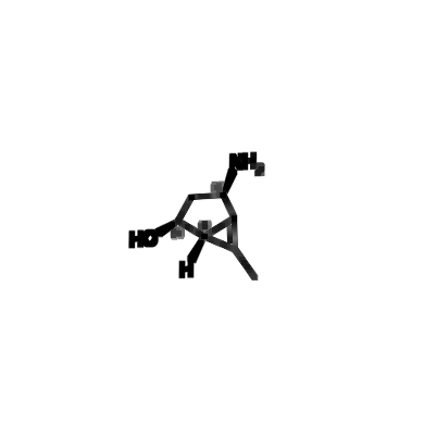 CC1=C2[C@H]1[C@@H](O)C[C@H]2N